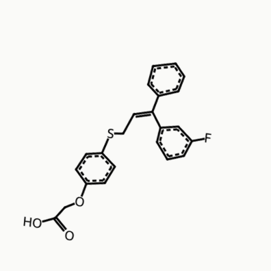 O=C(O)COc1ccc(SC/C=C(/c2ccccc2)c2cccc(F)c2)cc1